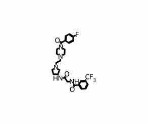 O=C(CNC(=O)c1cccc(C(F)(F)F)c1)N[C@@H]1CCN(CCN2CCN(C(=O)c3ccc(F)cc3)CC2)C1